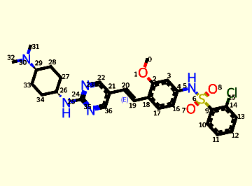 COc1cc(NS(=O)(=O)c2ccccc2Cl)ccc1/C=C/c1cnc(N[C@H]2CC[C@H](N(C)C)CC2)nc1